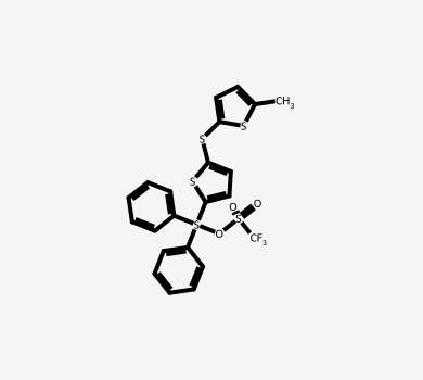 Cc1ccc(Sc2ccc(S(OS(=O)(=O)C(F)(F)F)(c3ccccc3)c3ccccc3)s2)s1